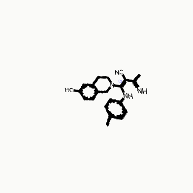 CC(=N)/C(C#N)=C(\Nc1ccc(C)cc1)N1CCc2cc(O)ccc2C1